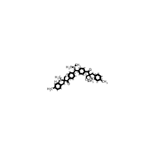 CCC(Cc1ccc(C)cc1)(C(=O)c1ccc(C(c2ccc(C(=O)C(CC)(Cc3ccc(C)cc3)N(C)C)cc2)N(C)C)cc1)N(C)C